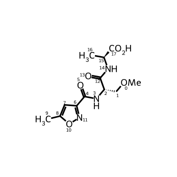 COC[C@H](NC(=O)c1cc(C)on1)C(=O)N[C@@H](C)C(=O)O